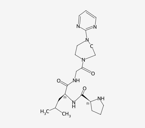 CC(C)C[C@H](NC(=O)[C@@H]1CCCN1)C(=O)NCC(=O)N1CCN(c2ncccn2)CC1